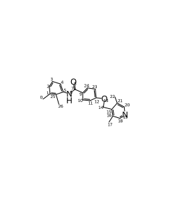 Cc1cccc(NC(=O)c2ccc(OCc3c(C)cncc3C)cc2)c1C